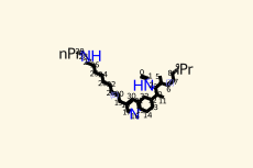 C=CNC(C(C)/C=C\CC(C)C)C(C)C1CCc2ncc(C/C=C/CCCCCCNCCC)cc2C1